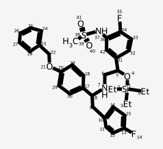 CC[Si](CC)(CC)OC(CNC(Cc1ccc(F)cc1)c1ccc(OCc2ccccc2)cc1)c1ccc(F)c(NS(C)(=O)=O)c1